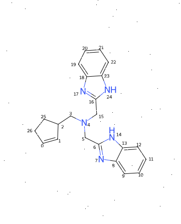 C1=CC(CN(Cc2nc3ccccc3[nH]2)Cc2nc3ccccc3[nH]2)CC1